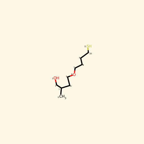 CC(CO)CCOCCCCS